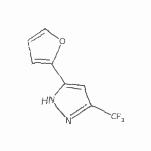 FC(F)(F)c1cc(-c2ccco2)[nH]n1